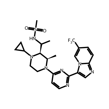 CC(NS(C)(=O)=O)[C@H]1[C@@H](C)N(c2ccnc(-c3cnc4ccc(C(F)(F)F)cn34)n2)CCN1C1CC1